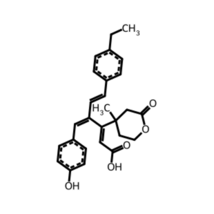 CCc1ccc(C=CC(=Cc2ccc(O)cc2)C(=CC(=O)O)C2(C)CCOC(=O)C2)cc1